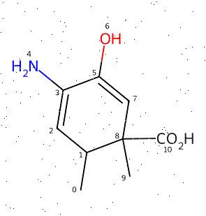 CC1C=C(N)C(O)=CC1(C)C(=O)O